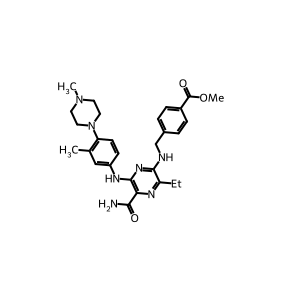 CCc1nc(C(N)=O)c(Nc2ccc(N3CCN(C)CC3)c(C)c2)nc1NCc1ccc(C(=O)OC)cc1